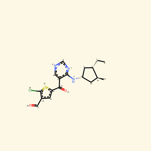 CC[C@H]1C[C@@H](Nc2ncncc2C(=O)c2cc(C=O)c(Cl)s2)C[C@@H]1C